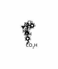 O=C(O)CCc1ccc(N2C[C@@H]3C[C@H]2C[C@H]3OCc2c(-c3c(Cl)cccc3Cl)cnn2C2CC2)cc1